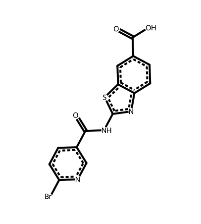 O=C(O)c1ccc2nc(NC(=O)c3ccc(Br)nc3)sc2c1